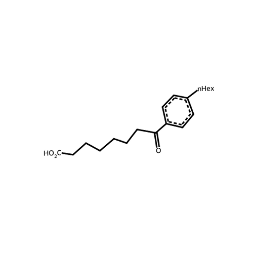 CCCCCCc1ccc(C(=O)CCCCCCC(=O)O)cc1